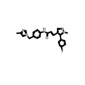 Cc1cn(Cc2ccc(NC(=O)/C=C/c3cnn(C)c3-c3ccc(F)cc3)cc2)cn1